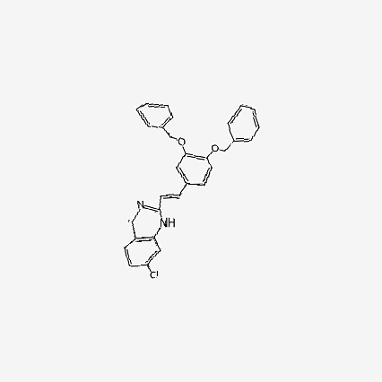 Clc1ccc2c(c1)NC(C=Cc1ccc(OCc3ccccc3)c(OCc3ccccc3)c1)=N[CH]2